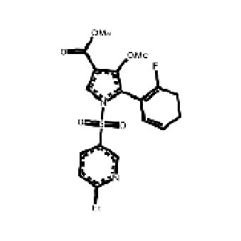 CCc1ccc(S(=O)(=O)n2cc(C(=O)OC)c(OC)c2C2=C(F)CCC=C2)cn1